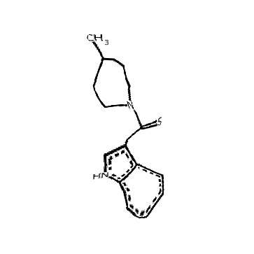 CC1CCN(C(=S)c2c[nH]c3ccccc23)CC1